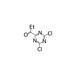 CCC(=O)c1nc(Cl)nc(Cl)n1